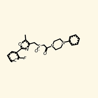 Cc1oc(-c2ccccc2F)nc1C[S+]([O-])CC(=O)N1CCN(c2ccccc2)CC1